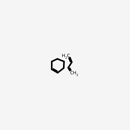 C1=CCCCC1.C=CC=C